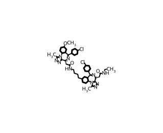 CCNC(=O)C[C@@H]1N=C(c2ccc(Cl)cc2)c2cc(CCCCNC(=O)C[C@@H]3N=C(c4ccc(Cl)cc4)c4cc(OC)ccc4-n4c(C)nnc43)ccc2-n2c(C)nnc21